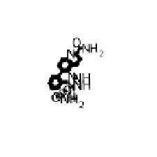 NC(=O)c1ccc2cc(-c3cccc(S(N)(=O)=O)c3C3=NNNN3)ccc2n1